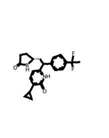 CC(F)(F)c1ccc(C(C[C@@H]2BC(=O)CC2)c2ccc(C3CC3)c(=O)[nH]2)cc1